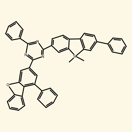 C[Si]1(C)c2cc(-c3ccccc3)ccc2-c2ccc(-c3nc(-c4ccccc4)nc(-c4cc(-c5ccccc5)c5c(c4)oc4ccccc45)n3)cc21